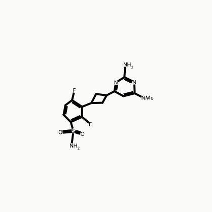 CNc1cc(C2CC(c3c(F)ccc(S(N)(=O)=O)c3F)C2)nc(N)n1